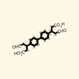 O=CCC(CC(=O)O)c1ccc(-c2ccc(C(CC=O)CC(=O)O)cc2)cc1